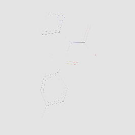 O=C(O)N(c1cscn1)S(=O)(=O)c1ccc(Br)c(Cl)c1